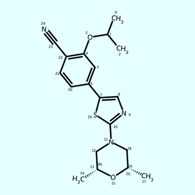 CC(C)Oc1cc(-c2cnc(N3C[C@@H](C)O[C@@H](C)C3)s2)ccc1C#N